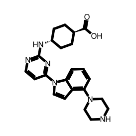 O=C(O)[C@H]1CC[C@H](Nc2nccc(-n3ccc4c(N5CCNCC5)cccc43)n2)CC1